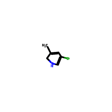 CC1=CC(Br)=CNC1